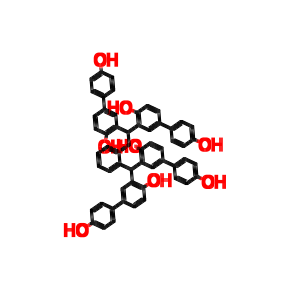 Oc1ccc(-c2ccc(O)c(C(Cc3ccccc3C(c3cc(-c4ccc(O)cc4)ccc3O)c3cc(-c4ccc(O)cc4)ccc3O)c3cc(-c4ccc(O)cc4)ccc3O)c2)cc1